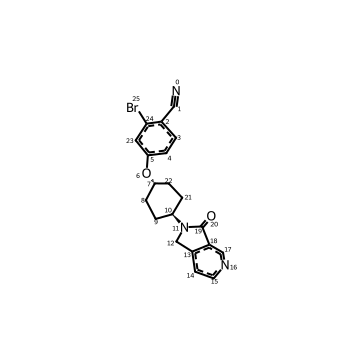 N#Cc1ccc(O[C@H]2CC[C@H](N3Cc4ccncc4C3=O)CC2)cc1Br